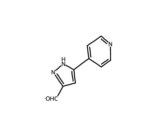 O=[C]c1cc(-c2ccncc2)[nH]n1